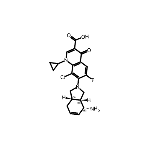 N[C@@H]1C=CC[C@@H]2CN(c3c(F)cc4c(=O)c(C(=O)O)cn(C5CC5)c4c3Cl)C[C@@H]21